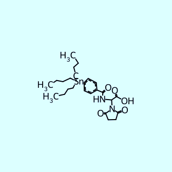 CCC[CH2][Sn]([CH2]CCC)([CH2]CCC)[c]1ccc(C(=O)NC(C(=O)O)N2C(=O)CCC2=O)cc1